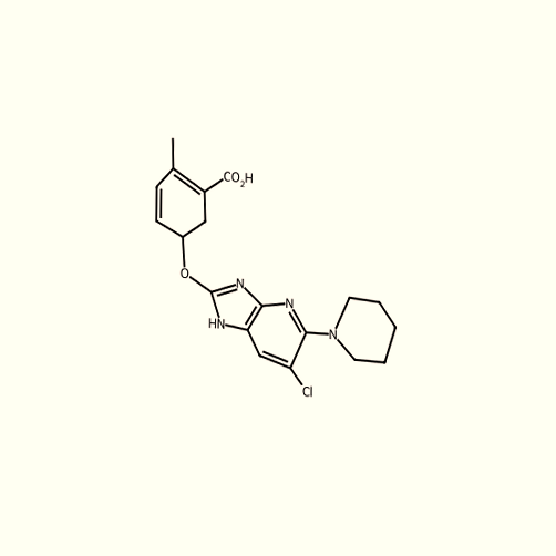 CC1=C(C(=O)O)CC(Oc2nc3nc(N4CCCCC4)c(Cl)cc3[nH]2)C=C1